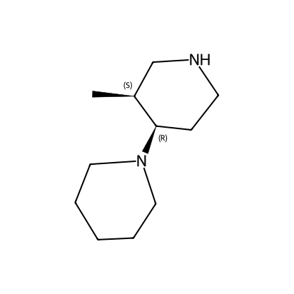 C[C@H]1CNCC[C@H]1N1CCCCC1